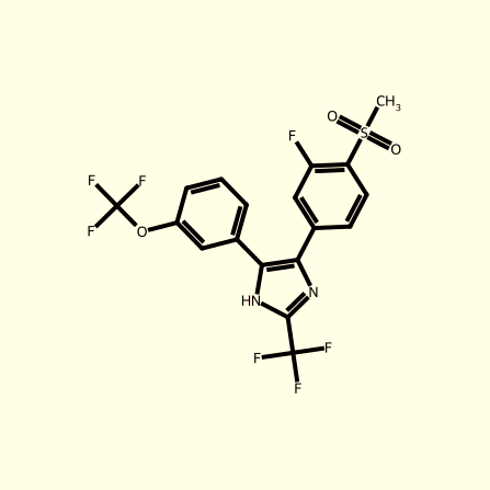 CS(=O)(=O)c1ccc(-c2nc(C(F)(F)F)[nH]c2-c2cccc(OC(F)(F)F)c2)cc1F